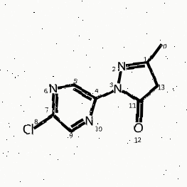 CC1=NN(c2cnc(Cl)cn2)C(=O)C1